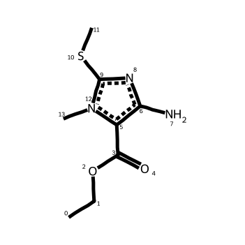 CCOC(=O)c1c(N)nc(SC)n1C